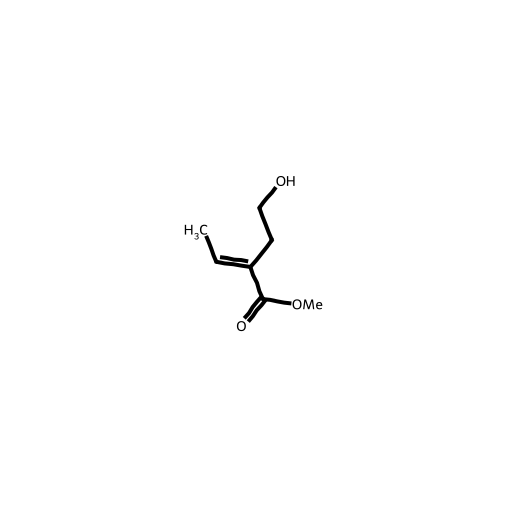 CC=C(CCO)C(=O)OC